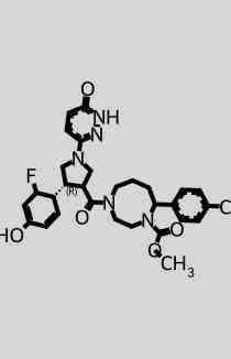 COC(=O)N1CCN(C(=O)C2CN(c3ccc(=O)[nH]n3)C[C@H]2C2C=CC(O)=CC2F)CCCC1c1ccc(Cl)cc1